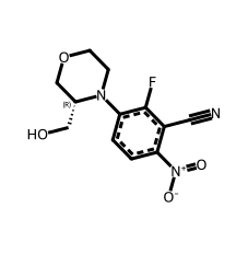 N#Cc1c([N+](=O)[O-])ccc(N2CCOC[C@H]2CO)c1F